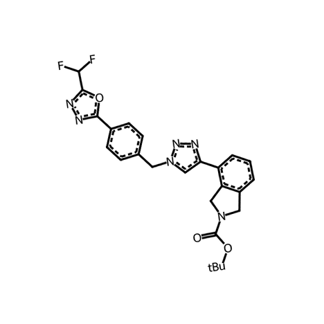 CC(C)(C)OC(=O)N1Cc2cccc(-c3cn(Cc4ccc(-c5nnc(C(F)F)o5)cc4)nn3)c2C1